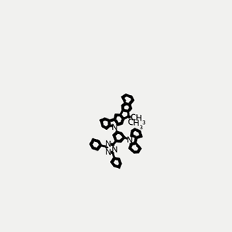 CC1(C)c2cc3ccccc3cc2-c2cc3c4ccccc4n(-c4cc(-c5nc(-c6ccccc6)nc(-c6ccccc6)n5)cc(-n5c6ccccc6c6ccccc65)c4)c3cc21